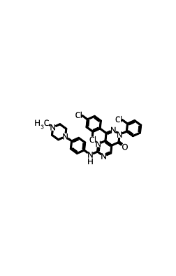 CN1CCN(c2ccc(Nc3ncc4c(=O)n(-c5ccccc5Cl)nc(-c5ccc(Cl)cc5Cl)c4n3)cc2)CC1